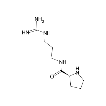 N=C(N)NCCCNC(=O)[C@@H]1CCCN1